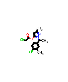 Cc1cc(OC(=O)CCl)n(C(C)c2ccc(Cl)c(C)c2)n1